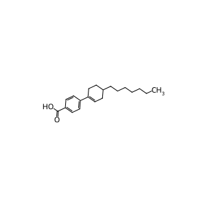 CCCCCCCC1CC=C(c2ccc(C(=O)O)cc2)CC1